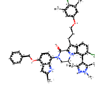 Cc1cc(OCCCc2c3n(c4c(-c5c(C)nn(C)c5C)c(Cl)ccc24)C(C)CN(c2ccc(OCc4ccccc4)c4cc(C(=O)O)[nH]c24)C3=O)cc(C)c1Cl